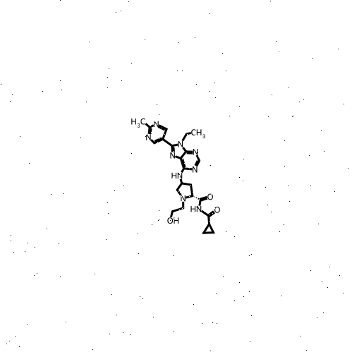 CCn1c(-c2cnc(C)nc2)nc2c(NC3C[C@H](C(=O)NC(=O)C4CC4)N(CCO)C3)ncnc21